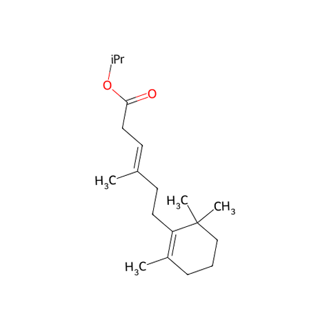 CC1=C(CC/C(C)=C/CC(=O)OC(C)C)C(C)(C)CCC1